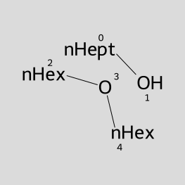 CCCCCCCO.CCCCCCOCCCCCC